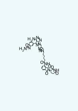 Nc1nc2cc(-c3nn(Cc4cn(CCCCCC(=O)Nc5cccc6c5C(=O)N(C5CCC(=O)NC5=O)C6=O)nn4)c4ncnc(N)c34)ccc2o1